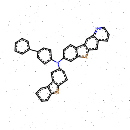 c1ccc(-c2ccc(N(c3ccc4c(c3)sc3cc5cccnc5cc34)c3ccc4sc5ccccc5c4c3)cc2)cc1